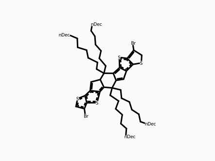 CCCCCCCCCCCCCCCCC1(CCCCCCCCCCCCCCCC)C2=Cc3c4c(sc3=C2C(CCCCCCCCCCCCCCCC)(CCCCCCCCCCCCCCCC)C2C=c3c(sc5c(Br)csc35)=C21)=C(Br)CS4